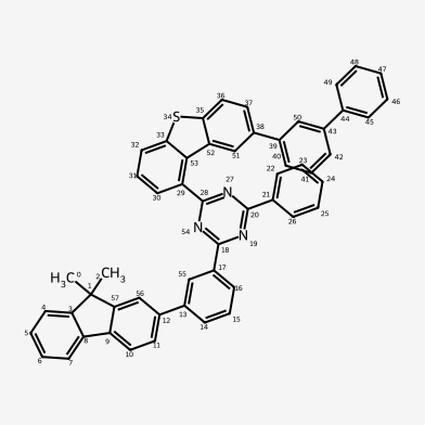 CC1(C)c2ccccc2-c2ccc(-c3cccc(-c4nc(-c5ccccc5)nc(-c5cccc6sc7ccc(-c8cccc(-c9ccccc9)c8)cc7c56)n4)c3)cc21